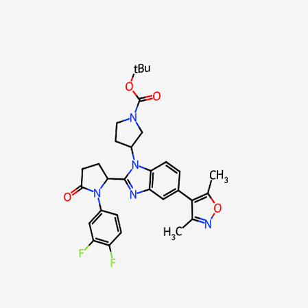 Cc1noc(C)c1-c1ccc2c(c1)nc(C1CCC(=O)N1c1ccc(F)c(F)c1)n2C1CCN(C(=O)OC(C)(C)C)C1